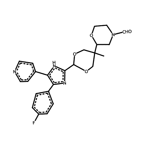 CC1(C2CN(C=O)CCO2)COC(c2nc(-c3ccc(F)cc3)c(-c3ccncc3)[nH]2)OC1